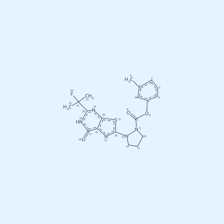 Cc1cccc(OC(=O)N2CCCN2c2nc3c(=O)[nH]c(C(C)(C)F)nc3s2)c1